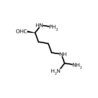 NC(N)NCCC[C@@H](C=O)NP